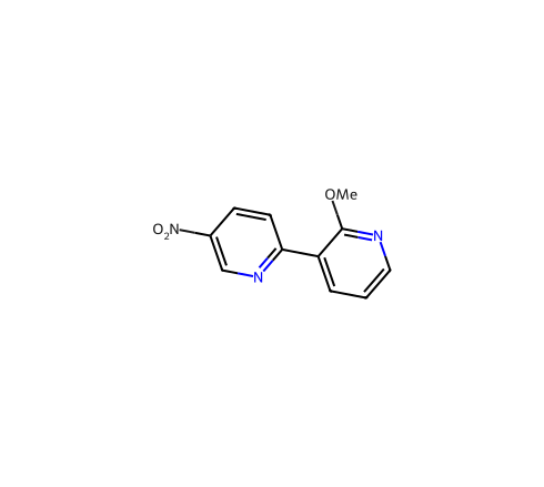 COc1ncccc1-c1ccc([N+](=O)[O-])cn1